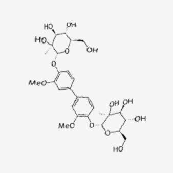 COc1cc(-c2ccc(O[C@H]3O[C@H](CO)[C@@H](O)[C@H](O)[C@]3(C)O)c(OC)c2)ccc1O[C@H]1O[C@H](CO)[C@@H](O)[C@H](O)[C@]1(C)O